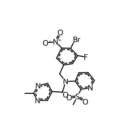 Cc1ncc(C(=O)N(Cc2cc(F)c(Br)c([N+](=O)[O-])c2)c2cccnc2S(C)(=O)=O)cn1